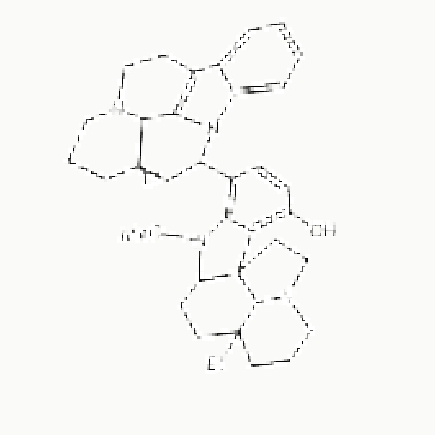 CCC12CCCN3CCc4c(n(c5ccccc45)C(c4ccc(O)c5c4N(OC)C4CCC6(CC)CCCN7CCC54C76)C1)C32